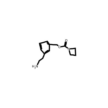 NCCc1cccc(COC(=O)N2CCC2)c1